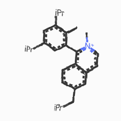 Cc1c(-c2c3ccc(CC(C)C)cc3cc[n+]2C)cc(C(C)C)cc1C(C)C